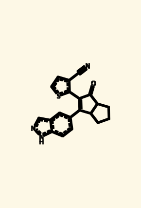 N#Cc1ccsc1C1=C(c2ccc3[nH]ncc3c2)C2CCCC2C1=O